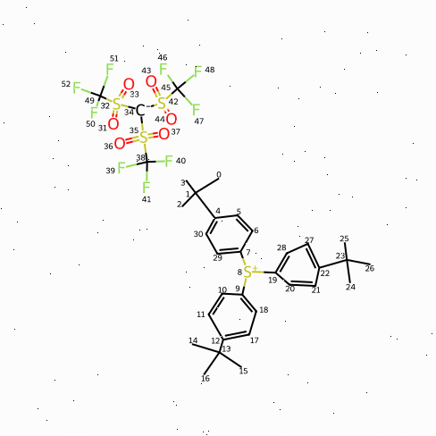 CC(C)(C)c1ccc([S+](c2ccc(C(C)(C)C)cc2)c2ccc(C(C)(C)C)cc2)cc1.O=S(=O)([C-](S(=O)(=O)C(F)(F)F)S(=O)(=O)C(F)(F)F)C(F)(F)F